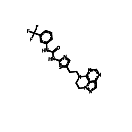 O=C(Nc1cccc(C(F)(F)F)c1)Nc1ncc(CCN2CCn3ncc4ncnc2c43)s1